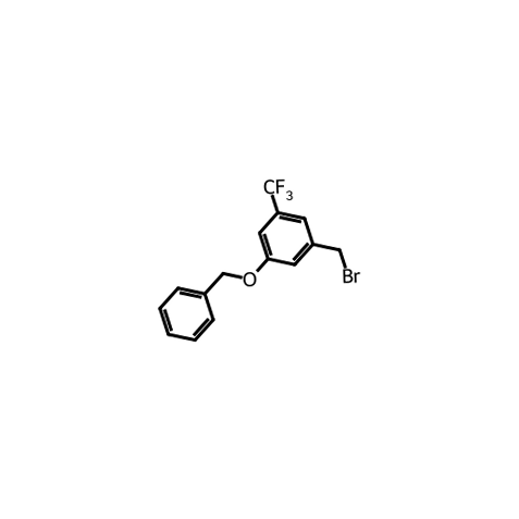 FC(F)(F)c1cc(CBr)cc(OCc2ccccc2)c1